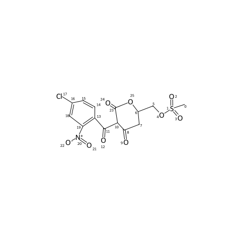 CS(=O)(=O)OCC1CC(=O)C(C(=O)c2ccc(Cl)cc2[N+](=O)[O-])C(=O)O1